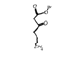 CCCCC(=O)CC(=O)OBr